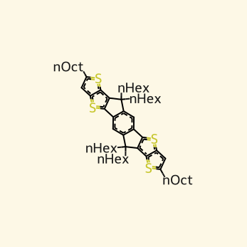 CCCCCCCCc1cc2sc3c(c2s1)C(CCCCCC)(CCCCCC)c1cc2c(cc1-3)C(CCCCCC)(CCCCCC)c1c-2sc2cc(CCCCCCCC)sc12